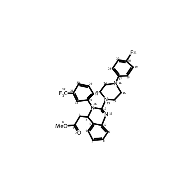 COC(=O)CC1c2ccccc2N=C(N2CCN(c3ccc(F)cc3)CC2)N1c1cccc(C(F)(F)F)c1